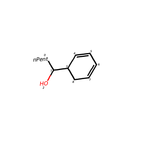 CCCCCC(O)C1C=CC=CC1